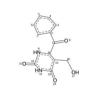 O=C(c1ccccc1)c1[nH]c(=O)[nH]c(=O)c1CO